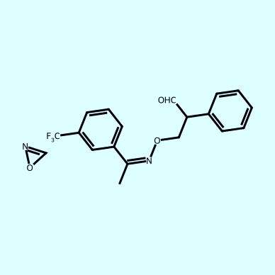 C1=NO1.CC(=NOCC(C=O)c1ccccc1)c1cccc(C(F)(F)F)c1